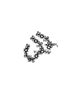 C#CC1(c2sc(CNC(=O)COc3ccc(OC(F)(F)F)cc3)nc2C(N)=O)CCCCC1.CCCCCC(C)c1sc(CNC(=O)COc2ccc(OC(F)(F)F)cc2)nc1C(N)=O.COc1ccc(CNC(=O)c2csc(CNC(=O)COc3ccc(OC(F)(F)F)cc3)n2)cc1